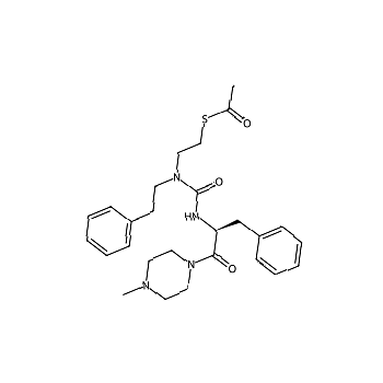 CC(=O)SCCN(CCc1ccccc1)C(=O)N[C@@H](Cc1ccccc1)C(=O)N1CCN(C)CC1